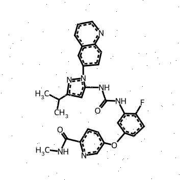 CNC(=O)c1ccc(Oc2ccc(F)c(NC(=O)Nc3cc(C(C)C)nn3-c3ccc4ncccc4c3)c2)cn1